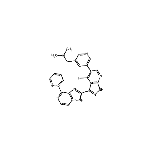 CN(C)Cc1cncc(-c2cnc3[nH]nc(-c4nc5c(-c6ccccn6)nccc5[nH]4)c3c2F)c1